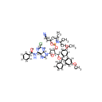 COc1ccc(C(OC[C@H]2O[C@@H](n3cnc4c(NC(=O)c5ccccc5)nc(Cl)nc43)CC2OP(OCCC#N)N(C(C)C)C(C)C)(c2ccccc2)c2ccc(OC)cc2)cc1